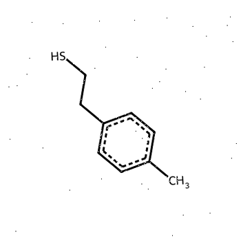 Cc1ccc(CCS)cc1